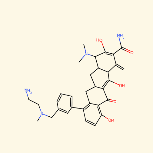 C=C1C(C(N)=O)=C(O)C(N(C)C)C2CC3Cc4c(-c5cccc(CN(C)CCN)c5)ccc(O)c4C(=O)C3=C(O)C12